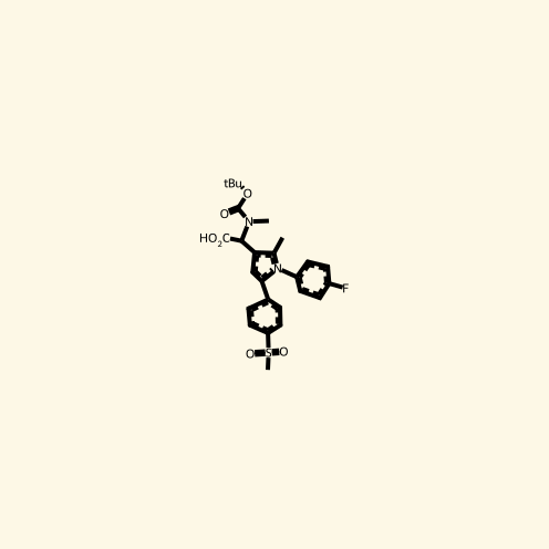 Cc1c(C(C(=O)O)N(C)C(=O)OC(C)(C)C)cc(-c2ccc(S(C)(=O)=O)cc2)n1-c1ccc(F)cc1